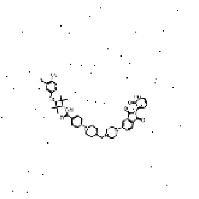 CC1(C)[C@H](NC(=O)c2ccc(N3CCC(CN4CCN(c5ccc6c(c5)C(=O)N(c5ccc[nH]c5=O)C6=O)CC4)CC3)cc2)C(C)(C)[C@H]1Oc1ccc(C#N)c(Cl)c1